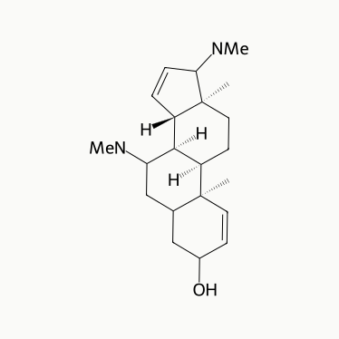 CNC1CC2CC(O)C=C[C@]2(C)[C@@H]2CC[C@]3(C)C(NC)C=C[C@H]3[C@H]12